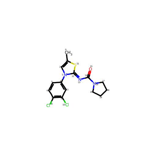 Cc1cn(-c2ccc(Cl)c(Cl)c2)c(=NC(=O)N2CCCC2)s1